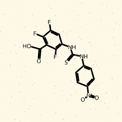 O=C(O)c1c(F)c(F)cc(NC(=S)Nc2ccc([N+](=O)[O-])cc2)c1F